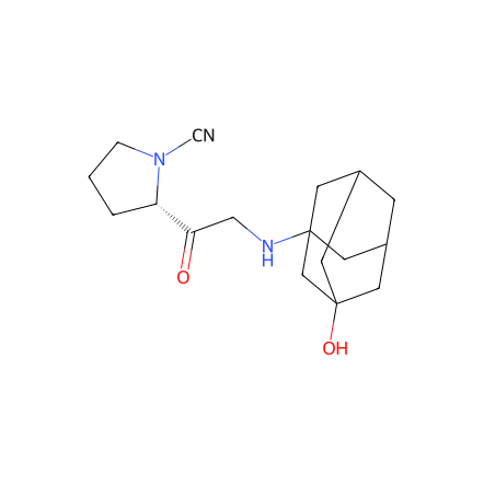 N#CN1CCC[C@H]1C(=O)CNC12CC3CC(CC(O)(C3)C1)C2